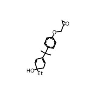 CCC1(O)C=CC(C(C)(C)c2ccc(OCC3CO3)cc2)=CC1